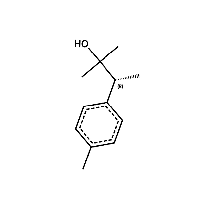 Cc1ccc([C@@H](C)C(C)(C)O)cc1